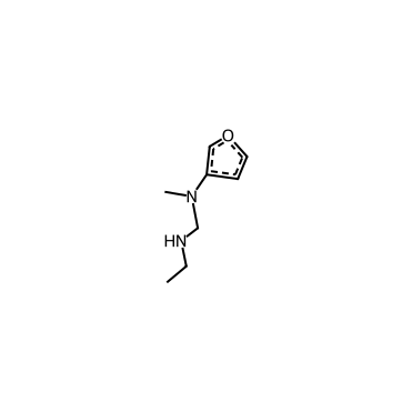 CCNCN(C)c1ccoc1